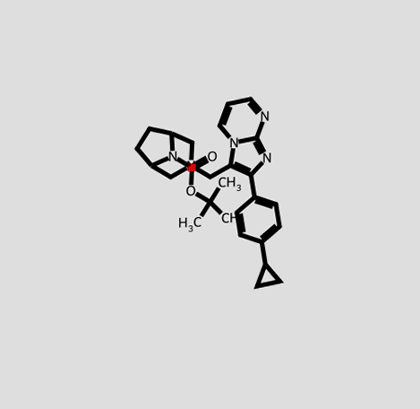 CC(C)(C)OC(=O)N1C2CCC1CN(Cc1c(-c3ccc(C4CC4)cc3)nc3ncccn13)C2